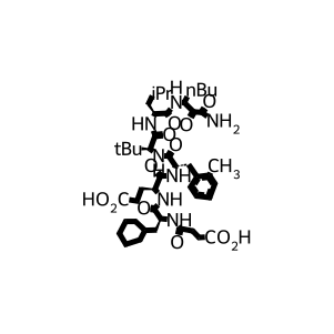 CCCCC(NC(=O)[C@H](CC(C)C)NC(=O)[C@@H](NC(=O)[C@H](Cc1ccccc1C)NC(=O)[C@H](CCC(=O)O)NC(=O)[C@H](CC1CCCCC1)NC(=O)CCC(=O)O)C(C)(C)C)C(=O)C(N)=O